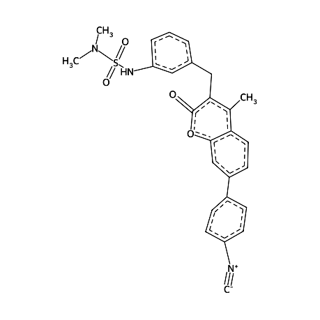 [C-]#[N+]c1ccc(-c2ccc3c(C)c(Cc4cccc(NS(=O)(=O)N(C)C)c4)c(=O)oc3c2)cc1